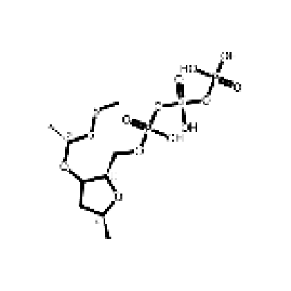 CSS[C@@H](C)OC1C[C@H](C)O[C@@H]1COP(=O)(O)OP(=O)(O)OP(=O)(O)O